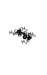 Cc1cc(C)c(CNC(=O)c2cccc(-c3c(C)ncn3C)c2C)c(=O)[nH]1